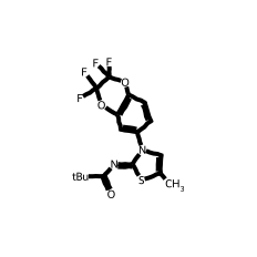 Cc1cn(-c2ccc3c(c2)OC(F)(F)C(F)(F)O3)c(=NC(=O)C(C)(C)C)s1